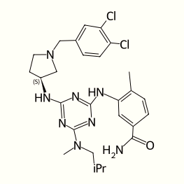 Cc1ccc(C(N)=O)cc1Nc1nc(N[C@H]2CCN(Cc3ccc(Cl)c(Cl)c3)C2)nc(N(C)CC(C)C)n1